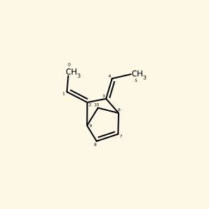 CC=C1C(=CC)C2C=CC1C2